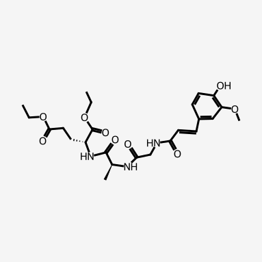 CCOC(=O)CC[C@@H](NC(=O)[C@H](C)NC(=O)CNC(=O)/C=C/c1ccc(O)c(OC)c1)C(=O)OCC